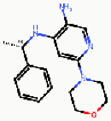 C[C@H](Nc1cc(N2CCOCC2)ncc1N)c1ccccc1